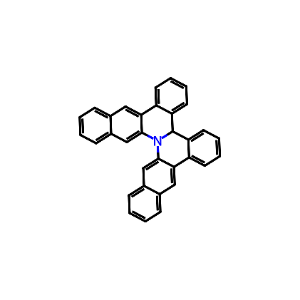 c1ccc2c(c1)-c1cc3ccccc3cc1N1c3cc4ccccc4cc3-c3ccccc3C21